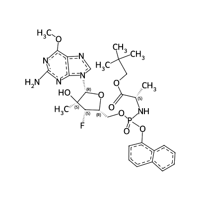 COc1nc(N)nc2c1ncn2[C@@H]1O[C@H](COP(=O)(N[C@@H](C)C(=O)OCC(C)(C)C)Oc2cccc3ccccc23)[C@H](F)[C@@]1(C)O